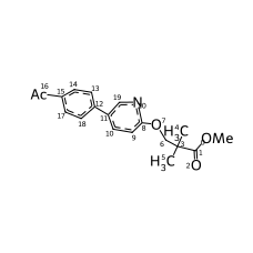 COC(=O)C(C)(C)COc1ccc(-c2ccc(C(C)=O)cc2)cn1